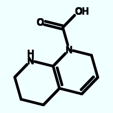 O=C(O)N1CC=CC2=C1NCCC2